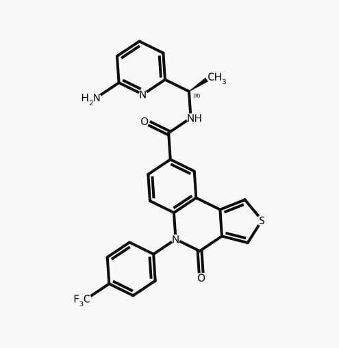 C[C@@H](NC(=O)c1ccc2c(c1)c1cscc1c(=O)n2-c1ccc(C(F)(F)F)cc1)c1cccc(N)n1